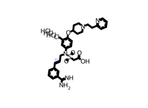 Cl.Cl.Cl.N=C(N)c1cccc(/C=C/CN(c2ccc(OC3CCN(CCc4ccccn4)CC3)c(Cl)c2)S(=O)(=O)CC(=O)O)c1